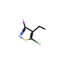 CCc1c(I)nsc1Cl